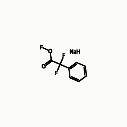 O=C(OF)C(F)(F)c1ccccc1.[NaH]